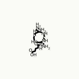 NC[C@]1(N)CNCCNC[C@@](CN)(NC(=O)CCCC(=O)O)NCCNC1